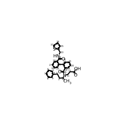 CC(CCc1ccccc1)N(CCC(=O)O)C(=O)c1ccccc1-c1ccccc1C(=O)NCc1cccs1